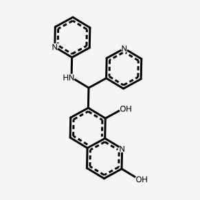 Oc1ccc2ccc(C(Nc3ccccn3)c3cccnc3)c(O)c2n1